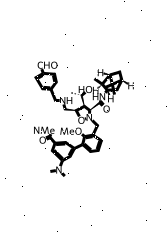 CNC(=O)c1cc(-c2cccc(CN3O[C@@H](CNCc4ccc(C=O)cc4)[C@@H]([C@H](C)O)[C@H]3C(=O)N[C@H]3C[C@H]4C[C@@H]([C@@H]3C)C4(C)C)c2OC)cc(N(C)C)c1